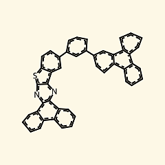 c1cc(-c2ccc3c4ccccc4c4ccccc4c3c2)cc(-c2ccc3sc4nc5c6ccccc6c6ccccc6c5nc4c3c2)c1